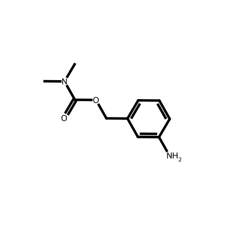 CN(C)C(=O)OCc1cccc(N)c1